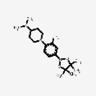 CN(C)C1CCN(c2ccc(B3OC(C)(C)C(C)(C)O3)cc2C(F)(F)F)CC1